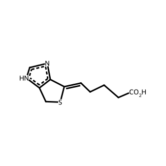 O=C(O)CCCC=C1SCc2[nH]cnc21